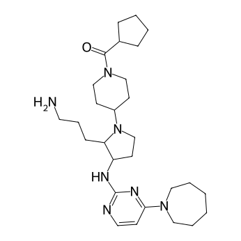 NCCCC1C(Nc2nccc(N3CCCCCC3)n2)CCN1C1CCN(C(=O)C2CCCC2)CC1